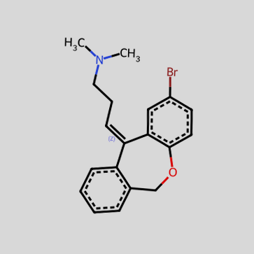 CN(C)CC/C=C1/c2ccccc2COc2ccc(Br)cc21